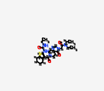 CCNC(=O)Nc1sc2c(c1C(=O)N1CCC3(CC1)N=CN(CC(=O)N(CC)CC)C3=O)CCCC2